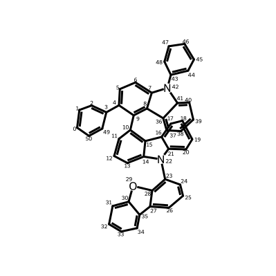 c1ccc(-c2ccc3c(c2-c2cccc4c2c2ccccc2n4-c2cccc4c2oc2ccccc24)c2ccccc2n3-c2ccccc2)cc1